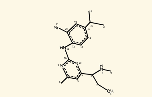 CNC(CO)c1cc(C)nc(Nc2ccc(C(C)C)cc2Br)n1